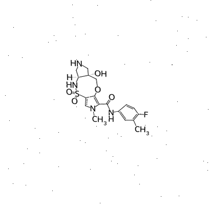 Cc1cc(NC(=O)c2c3c(cn2C)S(=O)(=O)N[C@H]2CNC[C@@]2(O)CO3)ccc1F